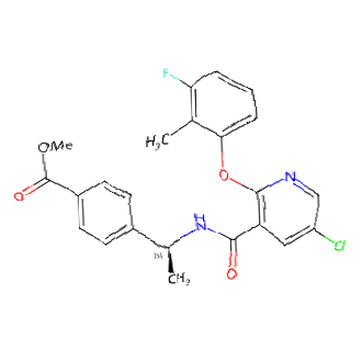 COC(=O)c1ccc([C@H](C)NC(=O)c2cc(Cl)cnc2Oc2cccc(F)c2C)cc1